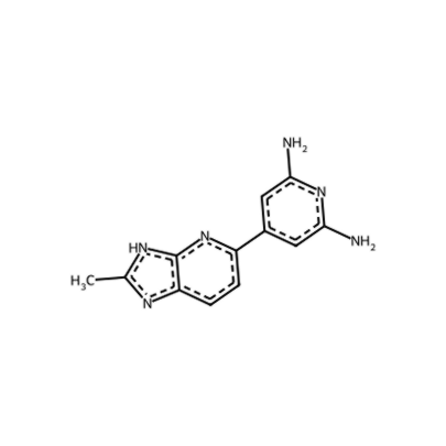 Cc1nc2ccc(-c3cc(N)nc(N)c3)nc2[nH]1